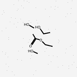 CCO.CCOC(C)=O.CO.CO